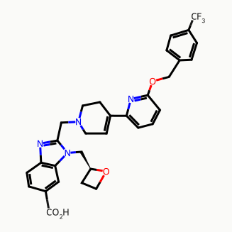 O=C(O)c1ccc2nc(CN3CC=C(c4cccc(OCc5ccc(C(F)(F)F)cc5)n4)CC3)n(C[C@@H]3CCO3)c2c1